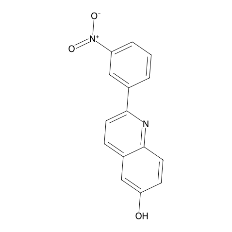 O=[N+]([O-])c1cccc(-c2ccc3cc(O)ccc3n2)c1